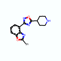 CC(C)c1nc2c(-c3noc(C4CCNCC4)n3)cccc2o1